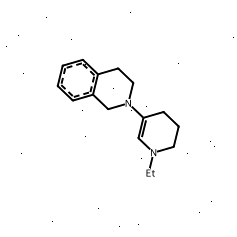 CCN1C=C(N2CCc3ccccc3C2)CCC1